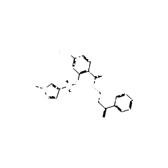 C=C(CCNC(=O)c1ccc(C(F)(F)F)cc1NS(=O)(=O)c1cnn(C)c1)c1ccccc1